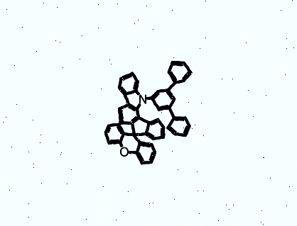 c1ccc(-c2cc(-c3ccccc3)cc(-n3c4ccccc4c4ccc5c(c43)-c3ccccc3C53c4ccccc4Oc4ccccc43)c2)cc1